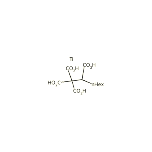 CCCCCCC(C(=O)O)C(C(=O)O)(C(=O)O)C(=O)O.[Ti]